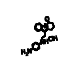 Cl.Nc1ccc(NCCc2c3n(c4ccccc24)C(=O)CCC3)cc1